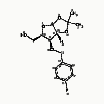 CC1(C)OC2O[C@H](CO)[C@H](OCc3ccc(F)cc3)[C@H]2O1